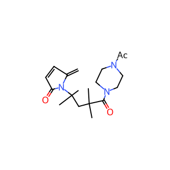 C=C1C=CC(=O)N1C(C)(C)CC(C)(C)C(=O)N1CCN(C(C)=O)CC1